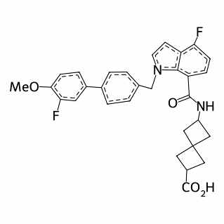 COc1ccc(-c2ccc(Cn3ccc4c(F)ccc(C(=O)NC5CC6(C5)CC(C(=O)O)C6)c43)cc2)cc1F